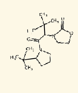 CC(C)(C)C1CCCN1C(=O)C(N1CCOC1=O)C(C)(C)C